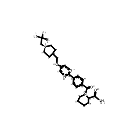 CCC(F)(CC)CN1CCC(COc2cnc(-c3ccc(C(=O)N4CCCCC4C(N)=O)cc3)nc2)CC1